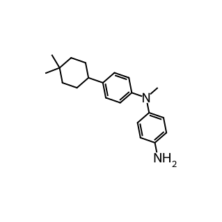 CN(c1ccc(N)cc1)c1ccc(C2CCC(C)(C)CC2)cc1